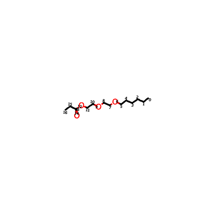 CCCCCCOCCOCCOC(=O)CC